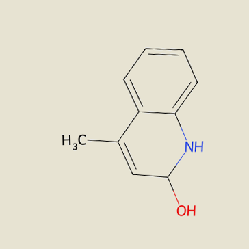 CC1=CC(O)Nc2ccccc21